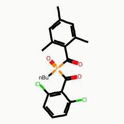 CCCCP(=O)(C(=O)c1c(C)cc(C)cc1C)C(=O)c1c(Cl)cccc1Cl